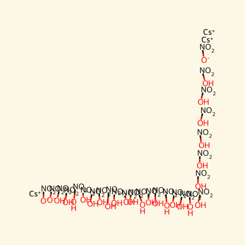 O=[N+]([O-])O.O=[N+]([O-])O.O=[N+]([O-])O.O=[N+]([O-])O.O=[N+]([O-])O.O=[N+]([O-])O.O=[N+]([O-])O.O=[N+]([O-])O.O=[N+]([O-])O.O=[N+]([O-])O.O=[N+]([O-])O.O=[N+]([O-])O.O=[N+]([O-])O.O=[N+]([O-])O.O=[N+]([O-])O.O=[N+]([O-])O.O=[N+]([O-])O.O=[N+]([O-])O.O=[N+]([O-])O.O=[N+]([O-])O.O=[N+]([O-])O.O=[N+]([O-])O.O=[N+]([O-])O.O=[N+]([O-])O.O=[N+]([O-])[O-].O=[N+]([O-])[O-].O=[N+]([O-])[O-].[Cs+].[Cs+].[Cs+]